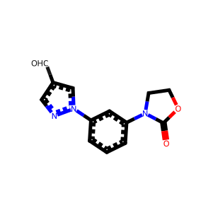 O=Cc1cnn(-c2cccc(N3CCOC3=O)c2)c1